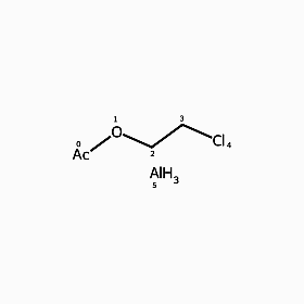 CC(=O)OCCCl.[AlH3]